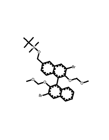 COCOc1c(Br)cc2ccccc2c1-c1c(OCOC)c(Br)cc2cc(CO[Si](C)(C)C(C)(C)C)ccc12